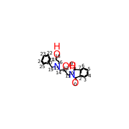 O=C1c2ccccc2C(=O)N1CC(O)CN(CCO)Cc1ccccc1